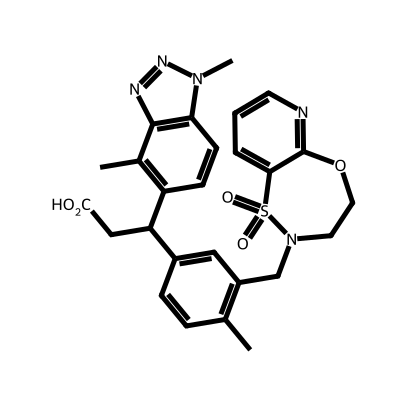 Cc1ccc(C(CC(=O)O)c2ccc3c(nnn3C)c2C)cc1CN1CCOc2ncccc2S1(=O)=O